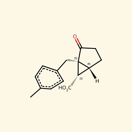 Cc1ccc(C[C@]23C(=O)CC[C@@H]2[C@@H]3C(=O)O)cc1